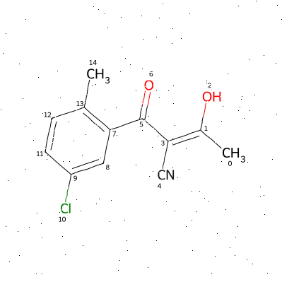 C/C(O)=C(\C#N)C(=O)c1cc(Cl)ccc1C